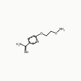 N=C(N)c1ccc(OCCON)nc1